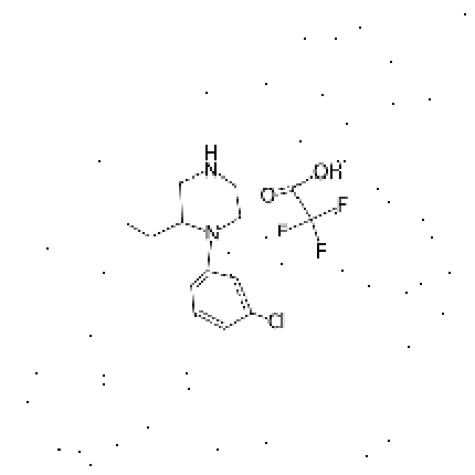 CCC1CNCCN1c1cccc(Cl)c1.O=C(O)C(F)(F)F